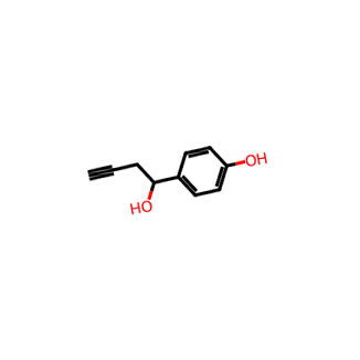 C#CCC(O)c1ccc(O)cc1